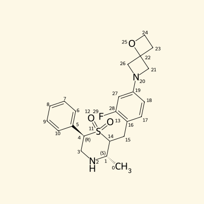 C[C@@H]1NC[C@@H](c2ccccc2)S(=O)(=O)C1Cc1ccc(N2CC3(CCO3)C2)cc1F